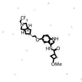 COC1CC(C(=O)Nc2c[nH]c3ccc(OCC[C@@H]4C[C@@H]5CN(CC(F)(F)F)C[C@@H]5C4)cc23)C1